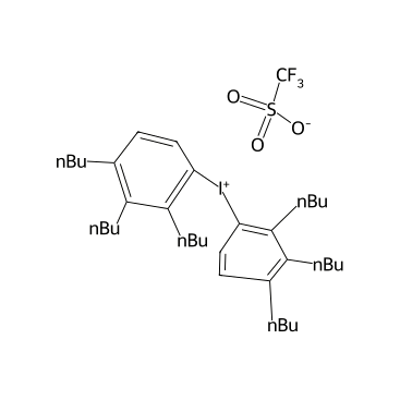 CCCCc1ccc([I+]c2ccc(CCCC)c(CCCC)c2CCCC)c(CCCC)c1CCCC.O=S(=O)([O-])C(F)(F)F